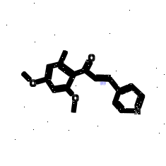 COc1cc(C)c(C(=O)/C=C/c2ccncc2)c(OC)c1